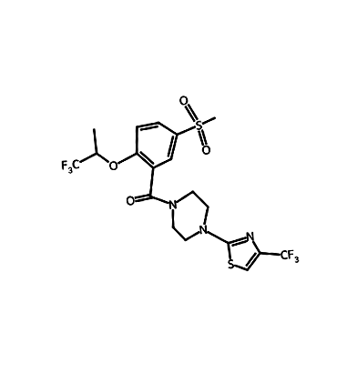 CC(Oc1ccc(S(C)(=O)=O)cc1C(=O)N1CCN(c2nc(C(F)(F)F)cs2)CC1)C(F)(F)F